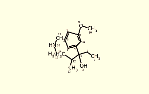 CCC(O)(c1cccc(OC)c1)C(C)C.CNC